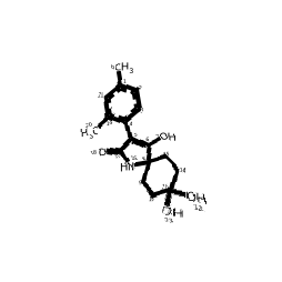 Cc1ccc(C2=C(O)C3(CCC(O)(O)CC3)NC2=O)c(C)c1